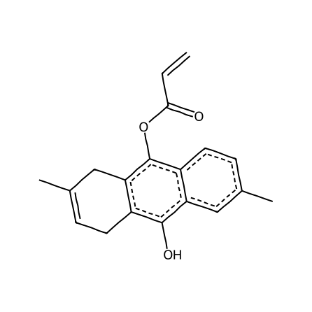 C=CC(=O)Oc1c2c(c(O)c3cc(C)ccc13)CC=C(C)C2